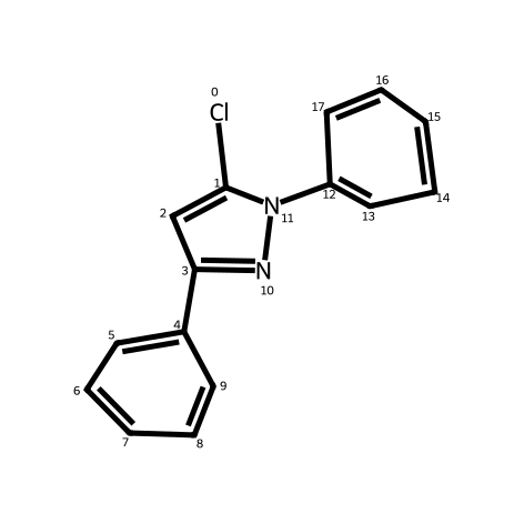 Clc1cc(-c2ccccc2)nn1-c1ccccc1